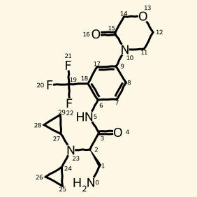 NC[C@H](C(=O)Nc1ccc(N2CCOCC2=O)cc1C(F)(F)F)N(C1CC1)C1CC1